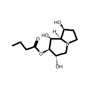 CCCC(=O)O[C@H]1[C@H](O)[C@H]2[C@@H](O)CCN2C[C@@H]1O